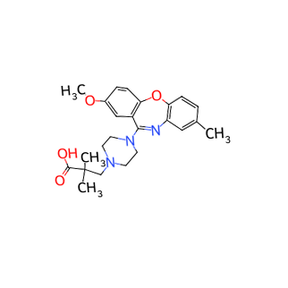 COc1ccc2c(c1)C(N1CCN(CC(C)(C)C(=O)O)CC1)=Nc1cc(C)ccc1O2